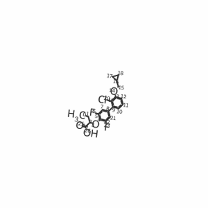 CCC(Oc1c(F)cc(-c2cccc(OCC3CC3)c2Cl)cc1F)C(=O)O